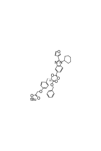 CC(C)(C)OC(=O)COc1ccc(C[C@H](OC(=O)c2ccc3c(c2)nc(-c2ccoc2)n3C2CCCCC2)C(=O)OCc2ccccc2)cc1